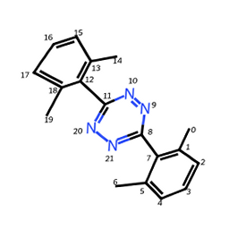 Cc1cccc(C)c1-c1nnc(-c2c(C)cccc2C)nn1